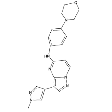 Cn1cc(-c2cnn3ccc(Nc4ccc(N5CCOCC5)cc4)nc23)cn1